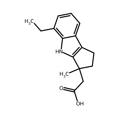 CCc1cccc2c3c([nH]c12)C(C)(CC(=O)O)CC3